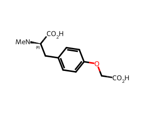 CN[C@H](Cc1ccc(OCC(=O)O)cc1)C(=O)O